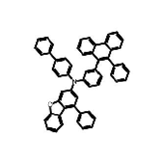 c1ccc(-c2ccc(N(c3cccc(-c4c(-c5ccccc5)c5ccccc5c5ccccc45)c3)c3cc(-c4ccccc4)c4c(c3)oc3ccccc34)cc2)cc1